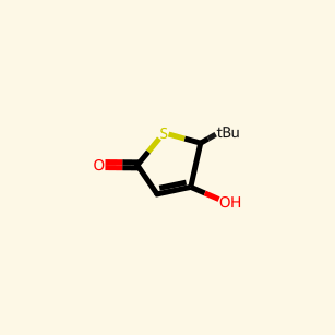 CC(C)(C)C1SC(=O)C=C1O